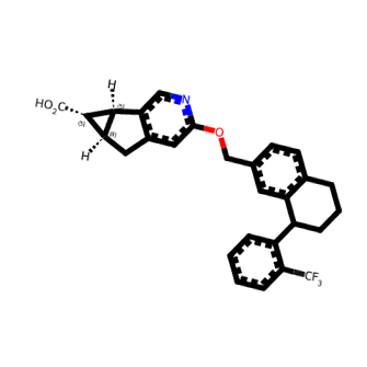 O=C(O)[C@H]1[C@@H]2Cc3cc(OCc4ccc5c(c4)C(c4ccccc4C(F)(F)F)CCC5)ncc3[C@@H]21